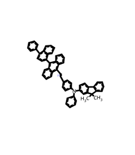 CC1(C)c2ccccc2-c2ccc(N(c3ccccc3)c3ccc(/C=C/c4c5ccccc5c(-c5ccc(-c6ccccc6)c6ccccc56)c5ccccc45)cc3)cc21